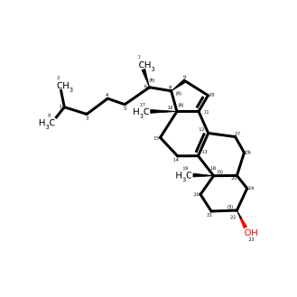 CC(C)CCC[C@@H](C)[C@H]1CC=C2C3=C(CC[C@@]21C)[C@@]1(C)CC[C@H](O)CC1CC3